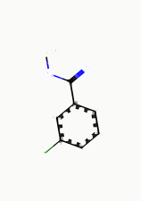 CNNC(=N)c1cccc(Cl)c1